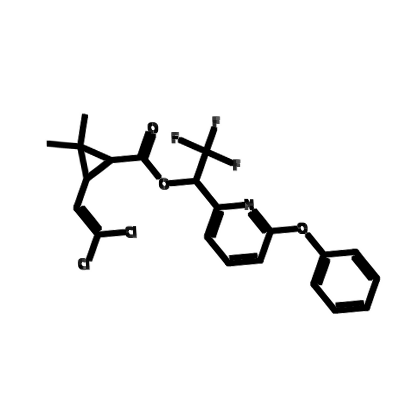 CC1(C)C(C=C(Cl)Cl)C1C(=O)OC(c1cccc(Oc2ccccc2)n1)C(F)(F)F